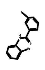 S=C(Nc1ccccc1Br)c1cccc(I)c1